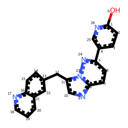 Oc1ccc(-c2ccc3ncc(Cc4ccc5ncccc5c4)n3n2)cn1